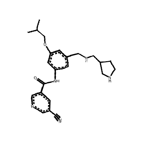 CC(C)COc1cc(CNCC2CCNC2)cc(NC(=O)c2cncc(C#N)c2)c1